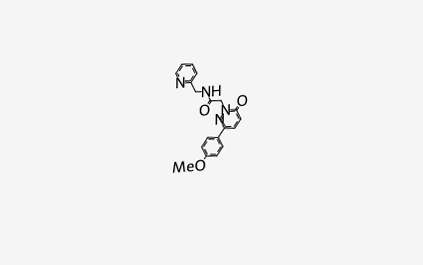 COc1ccc(-c2ccc(=O)n(CC(=O)NCc3ccccn3)n2)cc1